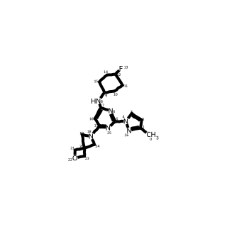 Cc1ccn(-c2nc(NC3CCC(F)CC3)cc(N3CC4(COC4)C3)n2)n1